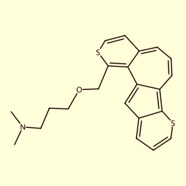 CN(C)CCCOCC1=c2c(cccc3c2cc2cccsc23)C=CS1